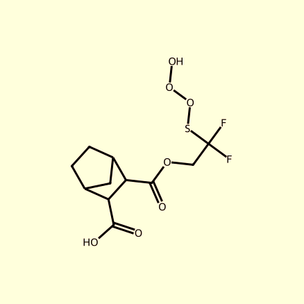 O=C(O)C1C2CCC(C2)C1C(=O)OCC(F)(F)SOOO